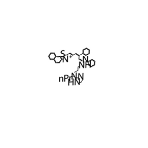 CCCN(CCCNC1=CC(=CC=Cc2sc3c4ccccc4ccc3[n+]2C)c2ccccc2N1c1ccccc1)C1=NCCN1